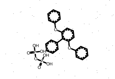 O=P(O)(O)OP(=O)(O)O.c1ccc(Oc2cccc(Oc3ccccc3)c2-c2ccccc2)cc1